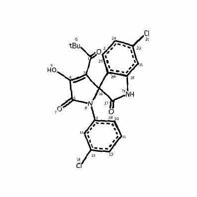 CC(C)(C)C(=O)C1=C(O)C(=O)N(c2cccc(Cl)c2)C12C(=O)Nc1cc(Cl)ccc12